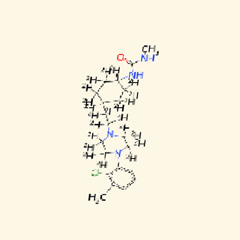 [2H]C1([2H])N(c2cccc(C)c2Cl)C([2H])([2H])C([2H])([2H])N(C([2H])([2H])C([2H])([2H])[C@]2([2H])C([2H])([2H])C([2H])([2H])[C@@]([2H])(NC(=O)NC)C([2H])([2H])C2([2H])[2H])C1([2H])[2H]